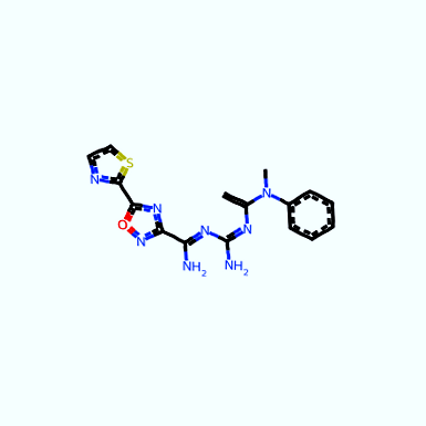 C=C(/N=C(N)\N=C(/N)c1noc(-c2nccs2)n1)N(C)c1ccccc1